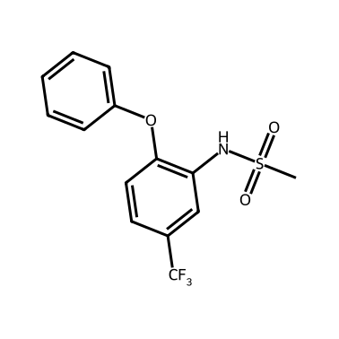 CS(=O)(=O)Nc1cc(C(F)(F)F)ccc1Oc1ccccc1